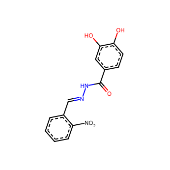 O=C(NN=Cc1ccccc1[N+](=O)[O-])c1ccc(O)c(O)c1